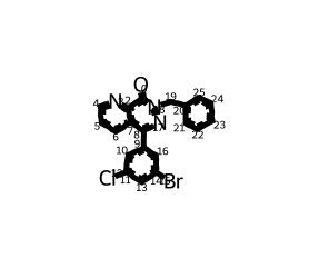 O=c1c2ncccc2c(-c2cc(Cl)cc(Br)c2)nn1Cc1ccccc1